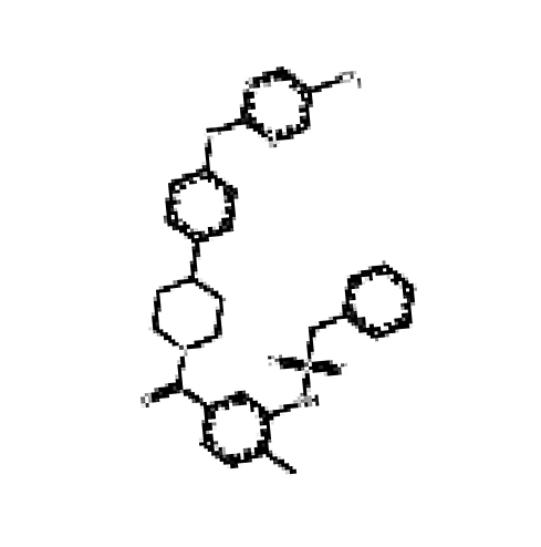 Cc1ccc(C(=O)N2CCC(c3ccc(Oc4ncc(C(F)(F)F)cn4)cc3)CC2)cc1NS(=O)(=O)Cc1ccccc1